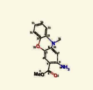 COC(=O)c1cc2c(cc1N)N(C)c1ccccc1O2